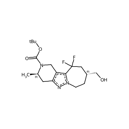 C[C@@H]1Cc2nn3c(c2CN1C(=O)OC(C)(C)C)C(F)(F)C[C@H](CO)CC3